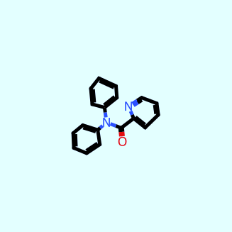 O=C(c1ccccn1)N(c1ccccc1)c1ccccc1